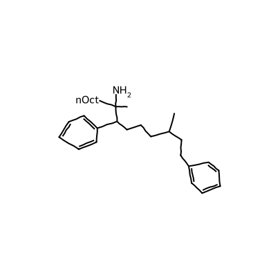 CCCCCCCCC(C)(N)C(CCCC(C)CCc1ccccc1)c1ccccc1